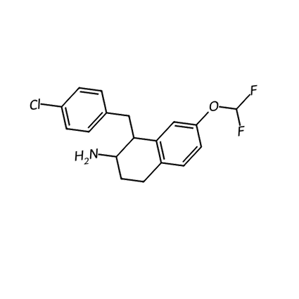 NC1CCc2ccc(OC(F)F)cc2C1Cc1ccc(Cl)cc1